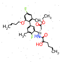 C=CCCOc1cc(F)cc(C)c1-c1cc(C)c(F)c([C@H](CC(=O)OCC)NC(=O)[C@H](O)CCC=C)c1